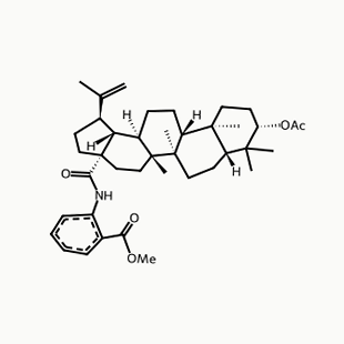 C=C(C)[C@@H]1CC[C@]2(C(=O)Nc3ccccc3C(=O)OC)CC[C@]3(C)[C@H](CC[C@@H]4[C@@]5(C)CC[C@H](OC(C)=O)C(C)(C)[C@@H]5CC[C@]43C)[C@@H]12